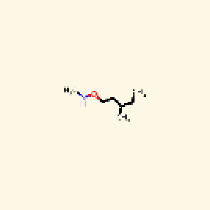 CCC(C)CCONC